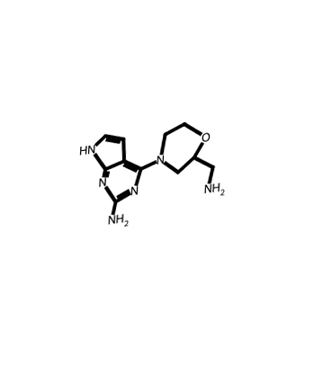 NCC1CN(c2nc(N)nc3[nH]ccc23)CCO1